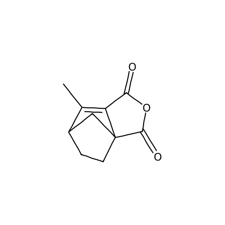 CC1=C2C(=O)OC(=O)C23CCC1C3